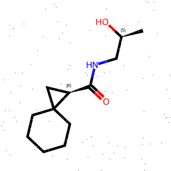 C[C@H](O)CNC(=O)[C@@H]1CC12CCCCC2